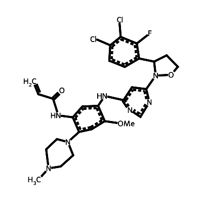 C=CC(=O)Nc1cc(Nc2cc(N3OCCC3c3ccc(Cl)c(Cl)c3F)ncn2)c(OC)cc1N1CCN(C)CC1